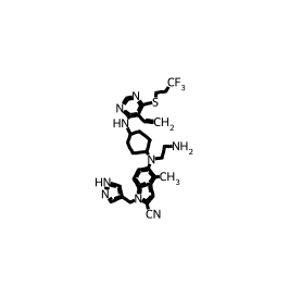 C=Cc1c(NC2CCC(N(CCN)c3ccc4c(cc(C#N)n4Cc4cn[nH]c4)c3C)CC2)ncnc1SCCC(F)(F)F